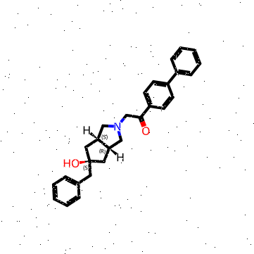 O=C(CN1C[C@@H]2C[C@](O)(Cc3ccccc3)C[C@@H]2C1)c1ccc(-c2ccccc2)cc1